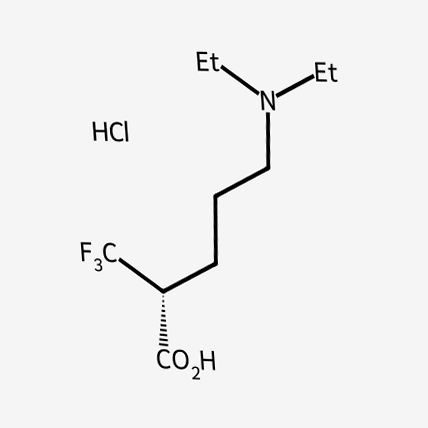 CCN(CC)CCC[C@H](C(=O)O)C(F)(F)F.Cl